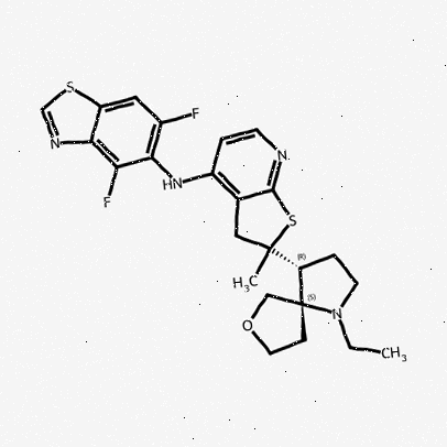 CCN1CC[C@@H](C2(C)Cc3c(Nc4c(F)cc5scnc5c4F)ccnc3S2)[C@]12CCOC2